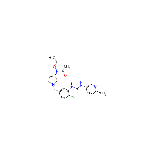 CCON(C(C)=O)[C@@H]1CCN(Cc2ccc(F)c(NC(=O)Nc3ccc(C)nc3)c2)C1